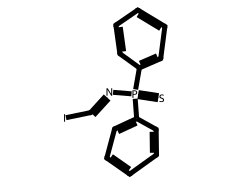 S=P(/N=C/I)(c1ccccc1)c1ccccc1